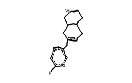 Fc1ccc(C2=CCC3CCNCC3C2)cn1